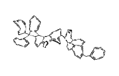 c1ccc(-c2ccc3ccc4c(-c5ccc6c(c5)oc5ccc7c(c56)-c5ccccc5C7(c5ccccc5)c5ccccc5)ccc5ccc2c3c54)cc1